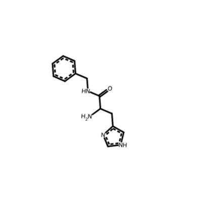 NC(Cc1c[nH]cn1)C(=O)NCc1ccccc1